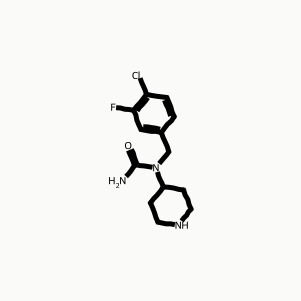 NC(=O)N(Cc1ccc(Cl)c(F)c1)C1CCNCC1